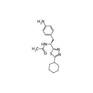 CC(=O)N[C@@H](Cc1ccc(N)cc1)c1nnc(C2CCCCC2)s1